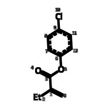 C=C(CC)C(=O)Oc1ccc(Cl)cc1